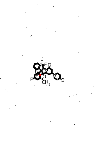 CCOC1(c2ccc(F)cc2)C2CC(N3CCC(=O)CC3)CC(=O)N2C(C(F)(F)F)C1(c1ccccc1)C(F)(F)F